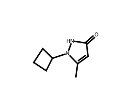 Cc1cc(=O)[nH]n1C1CCC1